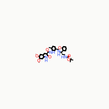 COc1cc2cc(C(=O)Nc3cc(C(=O)N[C@H](CCNC(=O)OC(C)(C)C)c4ccccc4)ccc3C)c(=O)[nH]c2cc1OC